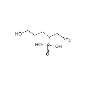 NCC(CCCO)P(=O)(O)O